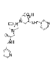 O=C(O)CN(CCN(CC(=O)O)CC(=O)NCc1cccnc1)CC(=O)NCc1cccnc1